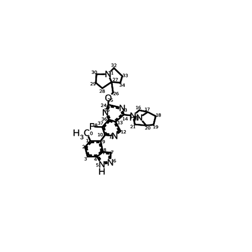 Cc1ccc2[nH]ncc2c1-c1ncc2c(N3CC4CCC(C3)N4)nc(OCC34CCCN3CCC4)nc2c1F